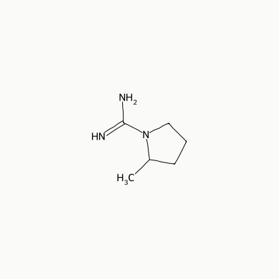 CC1CCCN1C(=N)N